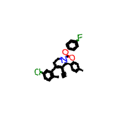 C#CC1=C(c2cc(Cl)ccc2C)CCN(C(=O)Oc2ccc(F)cc2)C1c1ccc(C)cc1